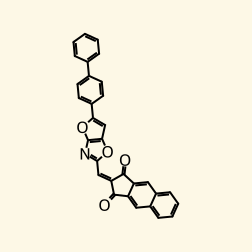 O=C1C(=Cc2nc3oc(-c4ccc(-c5ccccc5)cc4)cc3o2)C(=O)c2cc3ccccc3cc21